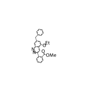 CCOc1cc(Cc2ccccc2)cc2nnc(-c3ccccc3C(=O)OC)cc12